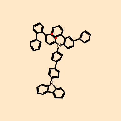 c1ccc(-c2ccc(N(c3ccc(-c4ccc(-n5c6ccccc6c6ccccc65)cc4)cc3)c3ccc(-c4ccccc4-c4ccccc4)cc3)c(-c3ccccc3)c2)cc1